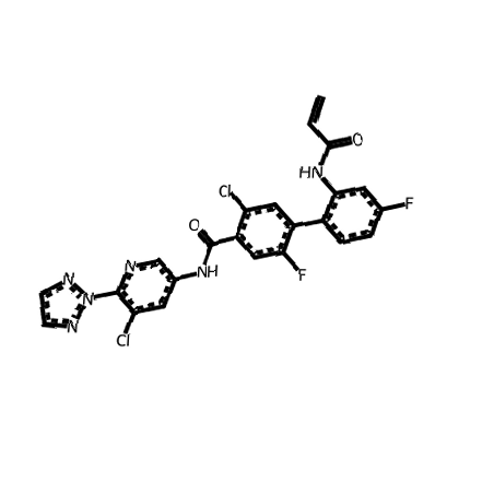 C=CC(=O)Nc1cc(F)ccc1-c1cc(Cl)c(C(=O)Nc2cnc(-n3nccn3)c(Cl)c2)cc1F